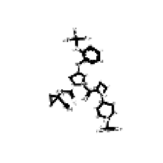 N#CC1(NC(=O)[C@@H]2C[C@@H](Sc3ccccc3OC(F)(F)F)CN2C(=O)C2CCN2C2CCN(C(=O)O)CC2)CC1